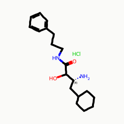 Cl.N[C@H](CC1CCCCC1)C(O)C(=O)NCCCc1ccccc1